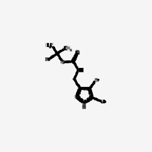 CCC(C)(C)OC(=O)NCc1n[nH]c(C#N)c1Br